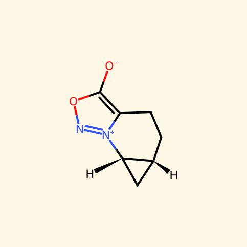 [O-]c1on[n+]2c1CC[C@@H]1C[C@@H]12